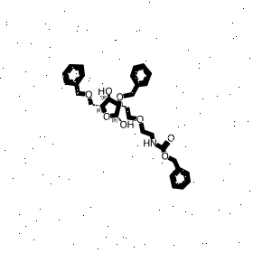 O=C(NCCOCC[C@]1(OCc2ccccc2)[C@H](O)O[C@H](COCc2ccccc2)[C@H]1O)OCc1ccccc1